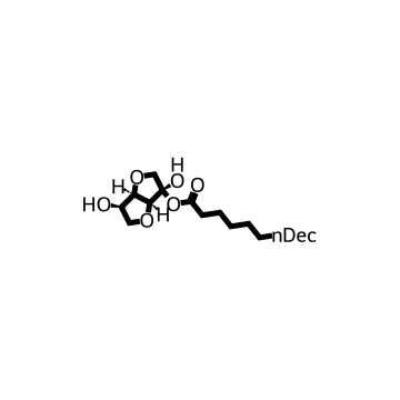 CCCCCCCCCCCCCCCC(=O)O[C@@]1(O)CO[C@@H]2[C@H](O)CO[C@@H]21